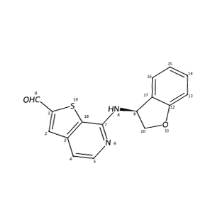 O=Cc1cc2ccnc(N[C@@H]3COc4ccccc43)c2s1